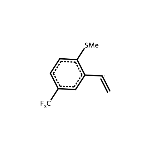 C=[C]c1cc(C(F)(F)F)ccc1SC